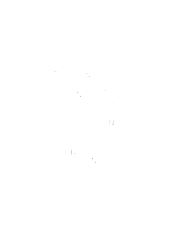 CC(=O)Nc1ncc(CN2CC[C@](F)(Cc3ncc(F)cn3)C2)s1